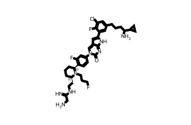 N=C(CN)NCC[C@@H]1CCC[C@@H](c2ccc(-n3cc4cc(-c5cc(CCCC(N)C6CC6)cc(Cl)c5F)[nH]c4nc3=O)cc2F)N1CCCF